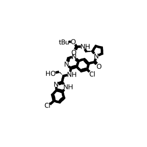 CC(C)(C)OC(=O)NC[C@H]1CCCN1C(=O)c1cc2ncnc(N[C@@H](CO)c3nc4cc(Cl)ccc4[nH]3)c2cc1Cl